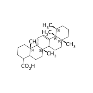 C[C@H]1CCC[C@]2(C)CCC3C(=CC=C4[C@@]3(C)CCC3C(C(=O)O)CCC[C@]43C)[C@]12C